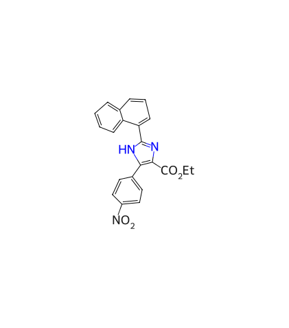 CCOC(=O)c1nc(-c2cccc3ccccc23)[nH]c1-c1ccc([N+](=O)[O-])cc1